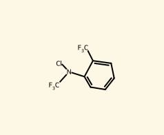 FC(F)(F)c1ccccc1N(Cl)C(F)(F)F